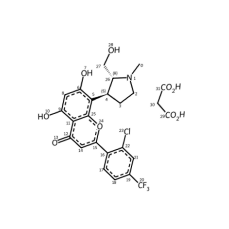 CN1CC[C@@H](c2c(O)cc(O)c3c(=O)cc(-c4ccc(C(F)(F)F)cc4Cl)oc23)[C@@H]1CO.O=C(O)CC(=O)O